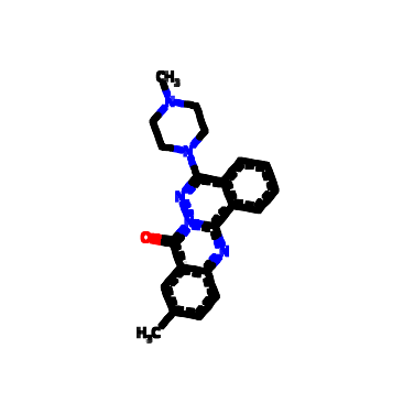 Cc1ccc2nc3c4ccccc4c(N4CCN(C)CC4)nn3c(=O)c2c1